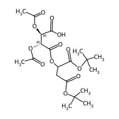 CC(=O)O[C@@H](C(=O)O)[C@@H](OC(C)=O)C(=O)OC(CC(=O)OC(C)(C)C)C(=O)OC(C)(C)C